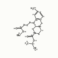 Cc1ccc(CN2CCN(C(=O)OC(C(F)(F)F)C(F)(F)F)CC2)c(OCCCC(=O)OC(C)(C)C)c1